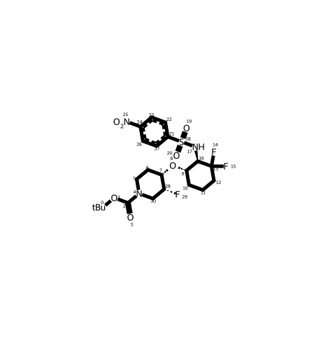 CC(C)(C)OC(=O)N1CC[C@H](O[C@H]2CCCC(F)(F)[C@@H]2NS(=O)(=O)c2ccc([N+](=O)[O-])cc2)[C@H](F)C1